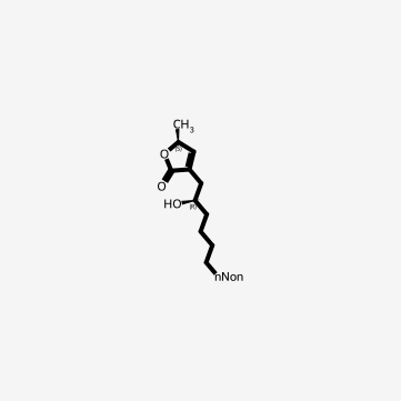 CCCCCCCCCCCCC[C@@H](O)CC1=C[C@H](C)OC1=O